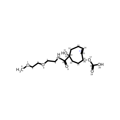 COCCOCCNC(=O)[C@]1(O)CC/C=C/[C@H](OC(=O)O)CC1